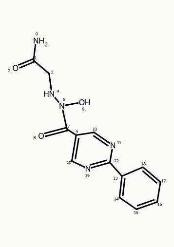 NC(=O)CNN(O)C(=O)c1cnc(-c2ccccc2)nc1